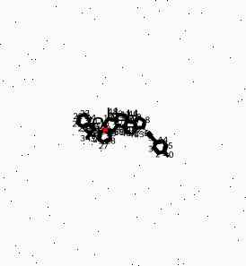 Cc1ccc(C#C[C@H]2CC[C@H]3[C@@H]4CC[C@H]5C[C@H](O[Si](c6ccccc6)(c6ccccc6)C(C)(C)C)CC[C@]5(C)[C@H]4CC[C@]23C)cc1